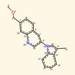 COCc1ccc2cc(-n3cc(C)c4ccccc43)cnc2c1